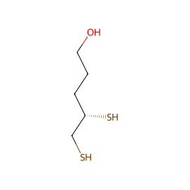 OCCC[C@H](S)CS